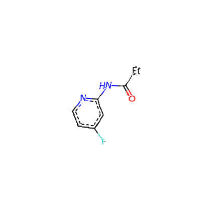 CCC(=O)Nc1cc(F)ccn1